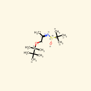 C/C(CO[Si](C)(C)C(C)(C)C)=N/[S@@+]([O-])C(C)(C)C